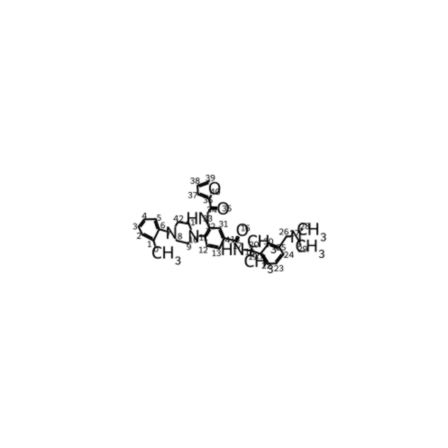 Cc1ccccc1N1CCN(c2ccc(C(=O)NC(C)(C)c3cccc(CN(C)C)c3)cc2NC(=O)c2ccco2)CC1